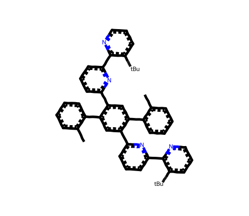 Cc1ccccc1-c1cc(-c2cccc(-c3ncccc3C(C)(C)C)n2)c(-c2ccccc2C)cc1-c1cccc(-c2ncccc2C(C)(C)C)n1